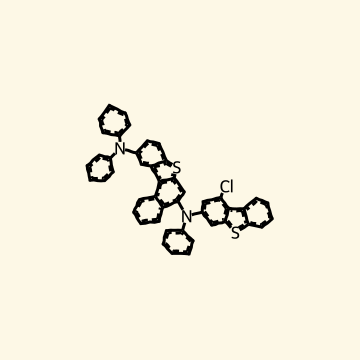 Clc1cc(N(c2ccccc2)c2cc3sc4ccc(N(c5ccccc5)c5ccccc5)cc4c3c3ccccc23)cc2sc3ccccc3c12